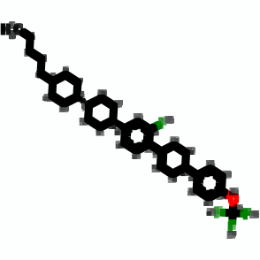 CCCCCC1CCC([C@H]2CC[C@H](c3ccc(C4=CCC(c5ccc(OC(F)(F)F)cc5)CC4)c(F)c3)CC2)CC1